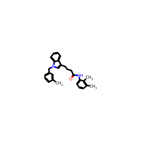 Cc1cccc(Cn2cc(CCCC(=O)Nc3cccc(C)c3C)c3ccccc32)c1